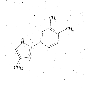 Cc1ccc(-c2nc(C=O)c[nH]2)cc1C